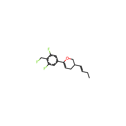 CC/C=C/C1CC=C(c2cc(F)c(CF)c(F)c2)OC1